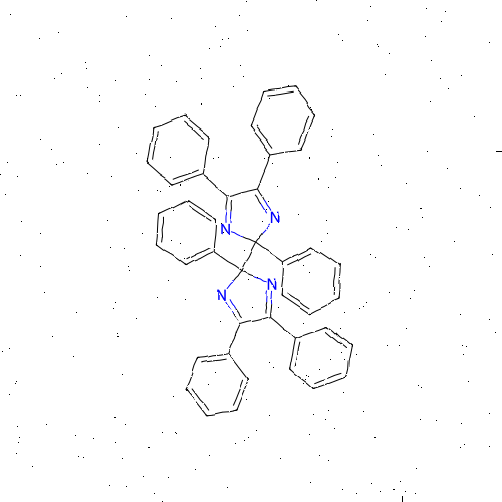 c1ccc(C2=NC(c3ccccc3)(C3(c4ccccc4)N=C(c4ccccc4)C(c4ccccc4)=N3)N=C2c2ccccc2)cc1